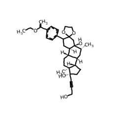 C=C(OCC)c1ccc(C2C[C@@H]3[C@H]4CC[C@@]5(C)[C@@H](CC[C@@]5(O)C#CCO)[C@@H]4C[C@@H](C)[C@@]3(O)CC23OCCO3)cc1